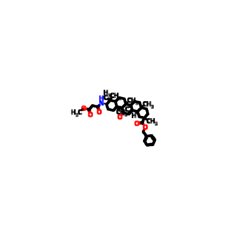 COC(=O)CC(=O)N[C@H]1CC[C@@]2(C)C(CC[C@]3(C)C2C(=O)C=C2[C@@H]4C[C@@](C)(C(=O)OCc5ccccc5)CC[C@]4(C)CC[C@]23C)C1(C)C